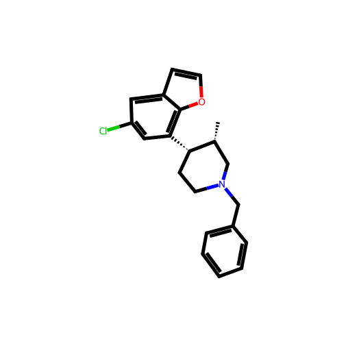 C[C@@H]1CN(Cc2ccccc2)CC[C@@H]1c1cc(Cl)cc2ccoc12